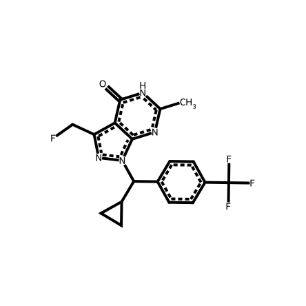 Cc1nc2c(c(CF)nn2C(c2ccc(C(F)(F)F)cc2)C2CC2)c(=O)[nH]1